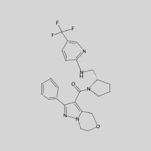 O=C(c1c(-c2ccccc2)nn2c1COCC2)N1CCC[C@H]1CNc1ccc(C(F)(F)F)cn1